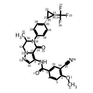 COc1ccc(C(=O)Nc2cnn3c2C(=O)N(c2ccc([C@@H]4C[C@H]4C(F)(F)F)cc2)C(C)C3)cc1C#N